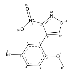 COc1ccc(Br)cc1C1=C[N]N=C1[N+](=O)[O-]